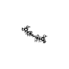 COc1cc(OC)cc(C(C)(C)OC(=O)NCCCNC(=O)OC(C)(C)c2cc(OC)cc(OC)c2)c1